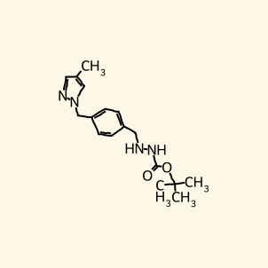 Cc1cnn(Cc2ccc(CNNC(=O)OC(C)(C)C)cc2)c1